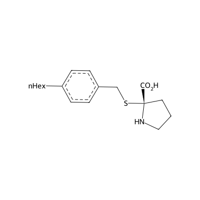 CCCCCCc1ccc(CS[C@]2(C(=O)O)CCCN2)cc1